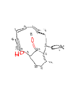 CC(=O)OC1C#CC=CC#CC2(O)CCC=C1C2=O